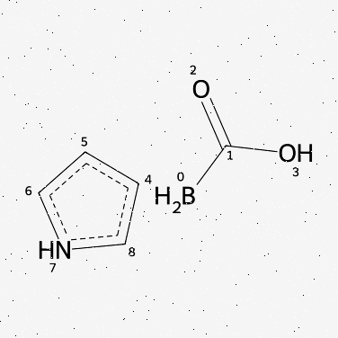 BC(=O)O.c1cc[nH]c1